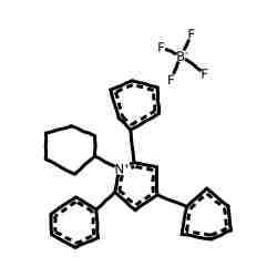 F[B-](F)(F)F.c1ccc(-c2cc(-c3ccccc3)[n+](C3CCCCC3)c(-c3ccccc3)c2)cc1